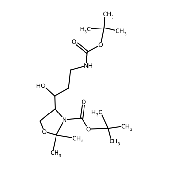 CC(C)(C)OC(=O)NCCC(O)C1COC(C)(C)N1C(=O)OC(C)(C)C